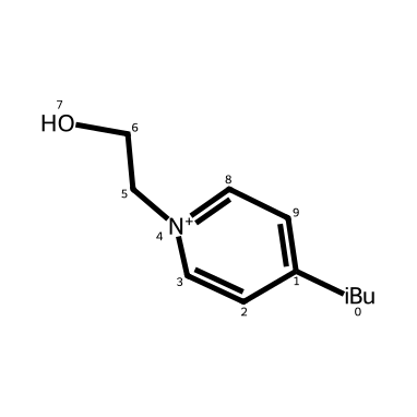 CCC(C)c1cc[n+](CCO)cc1